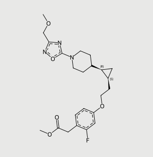 COCc1noc(N2CCC([C@H]3C[C@H]3CCOc3ccc(CC(=O)OC)c(F)c3)CC2)n1